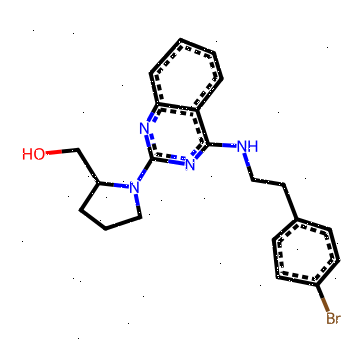 OCC1CCCN1c1nc(NCCc2ccc(Br)cc2)c2ccccc2n1